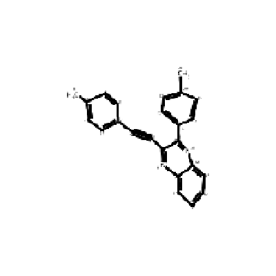 Cc1ccc(C#Cc2nc3ccccc3nc2-c2ccc(C)cc2)cc1